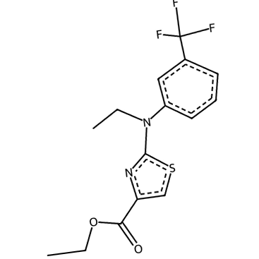 CCOC(=O)c1csc(N(CC)c2cccc(C(F)(F)F)c2)n1